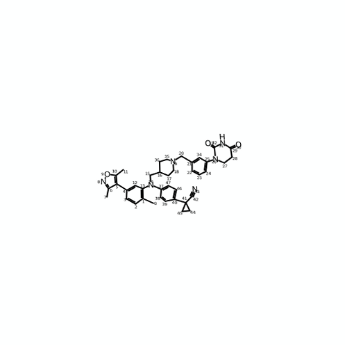 Cc1ccc(-c2c(C)noc2C)cc1N(CC1CCN(Cc2cccc(N3CCC(=O)NC3=O)c2)CC1)c1ccc(C2(C#N)CC2)cc1